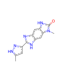 Cc1cc(-c2nc3cc4[nH]c(=O)n(C)c4cc3[nH]2)n[nH]1